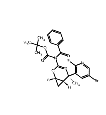 CC(C)(C)OC(=O)N(C(=O)c1ccccc1)C1=N[C@@](C)(c2cc(Br)cnc2F)[C@@H]2C[C@@H]2O1